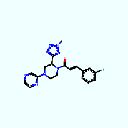 Cn1nnc(C2CN(c3cnccn3)CCN2C(=O)C=Cc2cccc(Cl)c2)n1